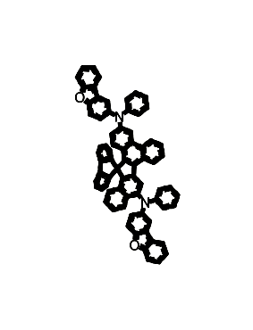 c1ccc(N(c2ccc3oc4ccccc4c3c2)c2ccc3c4c(c5ccccc5c3c2)-c2cc(N(c3ccccc3)c3ccc5oc6ccccc6c5c3)c3ccccc3c2C42c3ccccc3-c3ccccc32)cc1